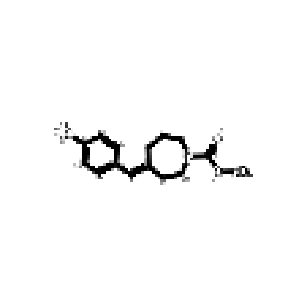 CC(C)(C)OC(=O)N1CCC/C(=C\c2ccc(C(F)(F)F)cc2)CC1